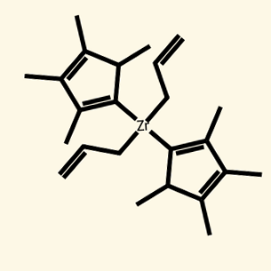 C=C[CH2][Zr]([CH2]C=C)([C]1=C(C)C(C)=C(C)C1C)[C]1=C(C)C(C)=C(C)C1C